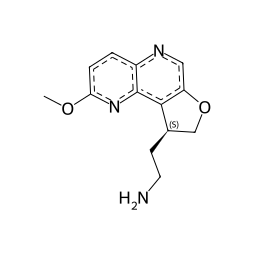 COc1ccc2ncc3c(c2n1)[C@H](CCN)CO3